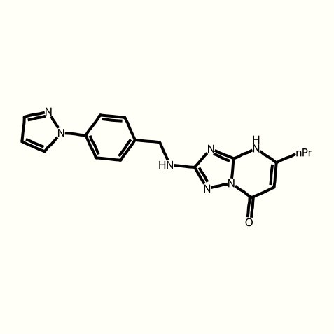 CCCc1cc(=O)n2nc(NCc3ccc(-n4cccn4)cc3)nc2[nH]1